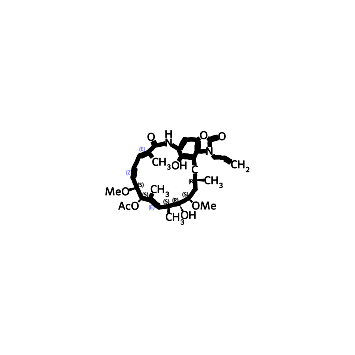 C=CCn1c(=O)oc2cc3c(O)c(c21)C[C@@H](C)C[C@H](OC)[C@H](O)[C@@H](C)/C=C(\C)[C@H](OC(C)=O)[C@@H](OC)/C=C\C=C(/C)C(=O)N3